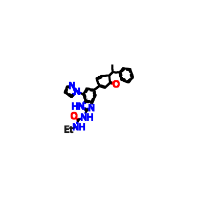 CCNC(=O)Nc1nc2cc(C3=CC(=O)C(C(C)c4ccccc4)C=C3)cc(-n3cccn3)c2[nH]1